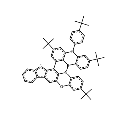 CC(C)(C)c1ccc(N2c3cc(C(C)(C)C)ccc3B3c4c(cc(C(C)(C)C)cc42)-c2c4c(cc5c2sc2ccccc25)Oc2cc(C(C)(C)C)ccc2N34)cc1